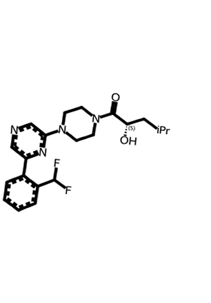 CC(C)C[C@H](O)C(=O)N1CCN(c2cncc(-c3ccccc3C(F)F)n2)CC1